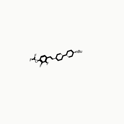 CCCC[C@H]1CC[C@H]([C@H]2CC[C@H](CCc3ccc(OC(F)F)c(F)c3F)CC2)CC1